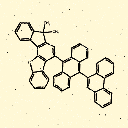 CC1(C)c2ccccc2-c2c1cc(-c1c3ccccc3c(-c3cc4ccccc4c4ccccc34)c3ccccc13)c1c2oc2ccccc21